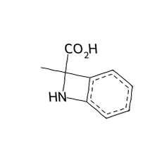 CC1(C(=O)O)Nc2ccccc21